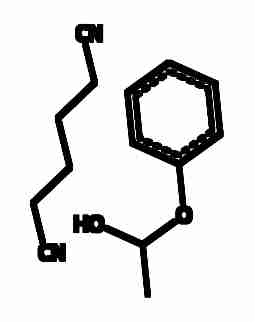 CC(O)Oc1ccccc1.N#CCCCCC#N